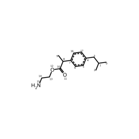 CC(C)Cc1ccc(C(C)C(=O)OCCN)cc1